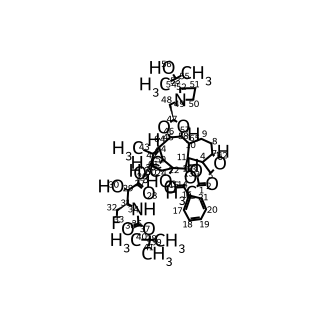 CC(=O)O[C@@]12CO[C@@H]1CCC1[C@@H]2[C@H](OC(=O)c2ccccc2)[C@]2(O)C[C@H](OC(=O)[C@H](O)[C@H](CF)NC(=O)OC(C)(C)C)C(C)=C([C@H]3O[C@@H](CN4CC[C@H]4C(C)(C)O)O[C@@H]13)C2(C)C